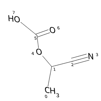 CC(C#N)OC(=O)O